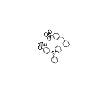 CC(C)(C)Oc1ccc([S+](c2ccccc2)c2ccccc2)cc1.O=S(=O)([O-])c1ccc(Cc2ccccc2)cc1